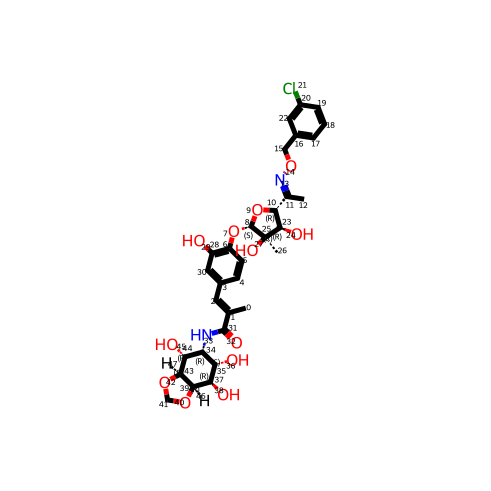 CC(=Cc1ccc(O[C@@H]2O[C@H](C(C)=NOCc3cccc(Cl)c3)[C@@H](O)[C@@]2(C)O)c(O)c1)C(=O)N[C@@H]1[C@H](O)[C@@H](O)[C@H]2OCO[C@H]2[C@@H]1O